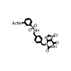 CCn1cnc2c1c(=O)[nH]c(=O)n2Cc1ccc(CNS(=O)(=O)c2cccc(NC(C)=O)c2)cc1